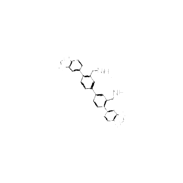 NCc1cc(-c2ccc(-c3ccc4c(c3)OCO4)c(CN)c2)ccc1-c1ccc2c(c1)OCO2